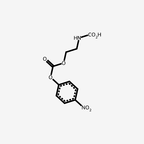 O=C(O)NCCOC(=O)Oc1ccc([N+](=O)[O-])cc1